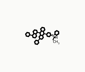 CCc1nc2ccccc2n1-c1ccc(-c2c3ccccc3c(-c3cccc4c(-c5ccccc5)cccc34)c3cc(-c4ccccc4)ccc23)cc1